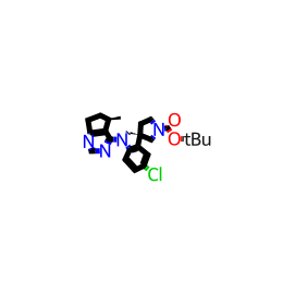 C[C@@H]1CCc2ncnc(N3C[C@@]4(CCN(C(=O)OC(C)(C)C)C4)c4cc(Cl)ccc43)c21